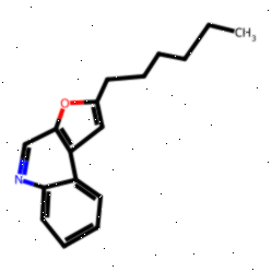 CCCCCCc1cc2c(cnc3ccccc32)o1